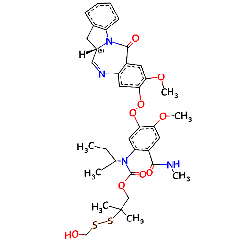 CCC(C)N(C(=O)OCC(C)(C)SSCO)c1cc(OOc2cc3c(cc2OC)C(=O)N2c4ccccc4C[C@H]2C=N3)c(OC)cc1C(=O)NC